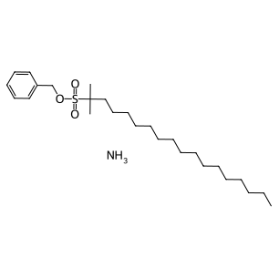 CCCCCCCCCCCCCCCCC(C)(C)S(=O)(=O)OCc1ccccc1.N